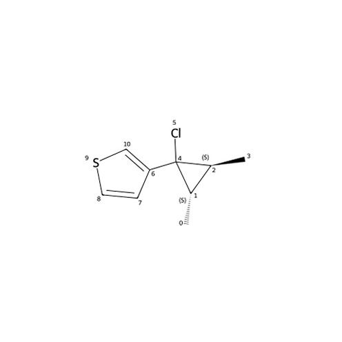 C[C@H]1[C@H](C)C1(Cl)c1ccsc1